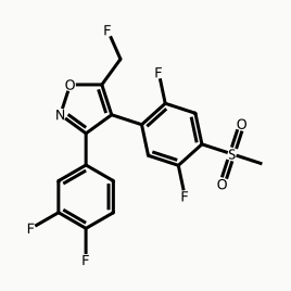 CS(=O)(=O)c1cc(F)c(-c2c(-c3ccc(F)c(F)c3)noc2CF)cc1F